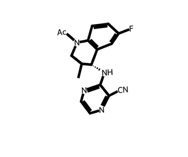 CC(=O)N1CC(C)[C@@H](Nc2nccnc2C#N)c2cc(F)ccc21